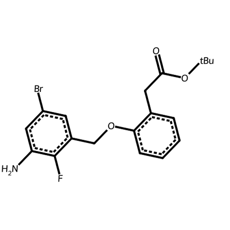 CC(C)(C)OC(=O)Cc1ccccc1OCc1cc(Br)cc(N)c1F